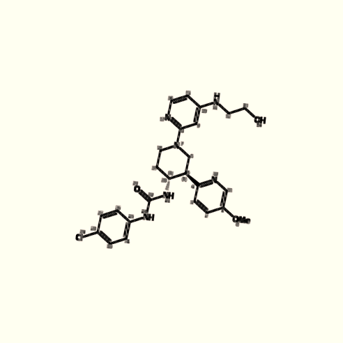 COc1ccc([C@@H]2CN(c3cc(NCCO)ccn3)CC[C@H]2NC(=O)Nc2ccc(Cl)cc2)nc1